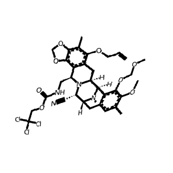 C=CCOc1c(C)c2c(c3c1C[C@H]1[C@H]4c5c(cc(C)c(OC)c5OCOC)C[C@H]([C@H](C#N)N1[C@H]3CNC(=O)OCC(Cl)(Cl)Cl)N4C)OCO2